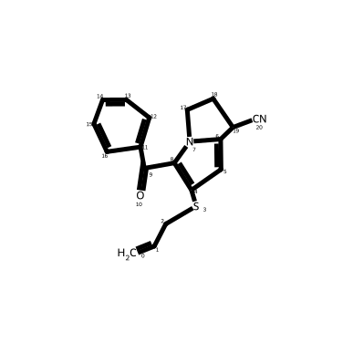 C=CCSc1cc2n(c1C(=O)c1ccccc1)CCC2C#N